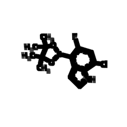 CC1(C)OB(c2c(F)cc(Cl)c3[nH]ccc23)OC1(C)C